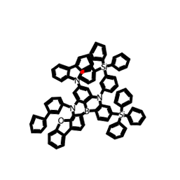 c1ccc(-c2cccc(N3c4cc(-n5c6ccccc6c6ccccc65)cc5c4B(c4ccc([Si](c6ccccc6)(c6ccccc6)c6ccccc6)cc4N5c4cccc([Si](c5ccccc5)(c5ccccc5)c5ccccc5)c4)c4ccc5c(oc6ccccc65)c43)c2)cc1